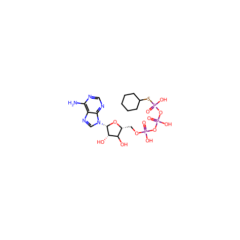 Nc1ncnc2c1ncn2[C@@H]1O[C@H](COP(=O)(O)OP(=O)(O)OP(=O)(O)SC2CCCCC2)C(O)[C@@H]1O